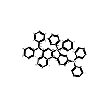 c1ccc(N(c2ccccc2)c2ccc3c(c2)[Si](c2ccccc2)(c2ccccc2)c2cc(N(c4ccccc4)c4ccccc4)c4ccccc4c2-3)cc1